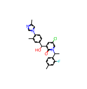 Cc1ccc(C(C)n2cc(Cl)cc(C(O)c3ccc(-n4cnc(C)c4)c(C)c3)c2=O)c(F)c1